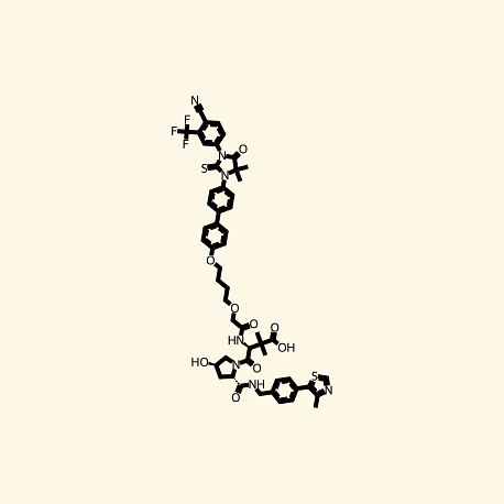 Cc1ncsc1-c1ccc(CNC(=O)[C@@H]2C[C@@H](O)CN2C(=O)[C@@H](NC(=O)COCCCCOc2ccc(-c3ccc(N4C(=S)N(c5ccc(C#N)c(C(F)(F)F)c5)C(=O)C4(C)C)cc3)cc2)C(C)(C)C(=O)O)cc1